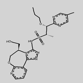 CCCO[C@H](c1ncc(C)cn1)[C@H](C)S(=O)(=O)Nc1nnc2n1[C@H](CO)COc1ncccc1-2